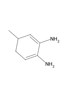 CC1C=C(N)C(N)=CC1